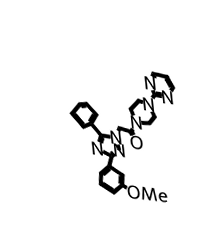 COc1cccc(-c2nc(-c3ccccc3)n(CC(=O)N3CCN(c4ncccn4)CC3)n2)c1